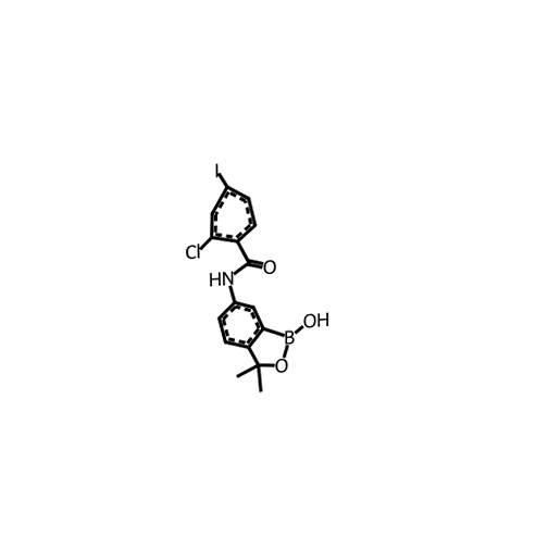 CC1(C)OB(O)c2cc(NC(=O)c3ccc(I)cc3Cl)ccc21